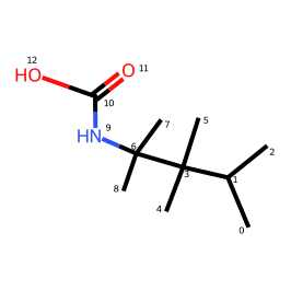 CC(C)C(C)(C)C(C)(C)NC(=O)O